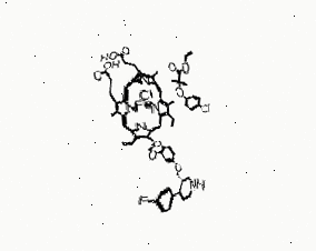 C=CC1=C(C)/C2=C/c3c(C=C)c(C)c4[n]3[Fe]([Cl])[n]3/c(c(C)c(CCC(=O)O)/c3=C/C3=NC(=C\4)/C(C)=C3CCC(=O)O)=C\C1=N2.CCOC(=O)C(C)(C)Oc1ccc(Cl)cc1.Fc1ccc([C@@H]2CCNC[C@H]2COc2ccc3c(c2)OCO3)cc1